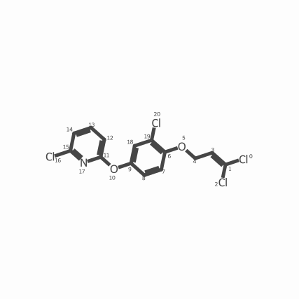 ClC(Cl)=CCOc1ccc(Oc2cccc(Cl)n2)cc1Cl